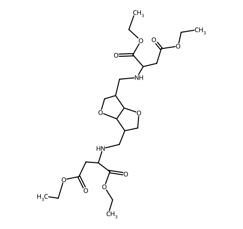 CCOC(=O)CC(NCC1COC2C(CNC(CC(=O)OCC)C(=O)OCC)COC12)C(=O)OCC